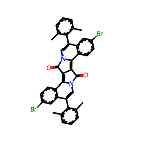 Cc1cccc(C)c1C1=CN2C(=O)C3=C4c5ccc(Br)cc5C(c5c(C)cccc5C)=CN4C(=O)C3=C2c2ccc(Br)cc21